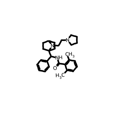 Cc1cccc(C)c1C(=O)NC(c1ccccc1)C12CCC(CC1)N2CCN1CCCC1